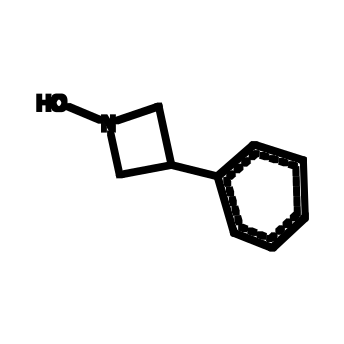 ON1CC(c2ccccc2)C1